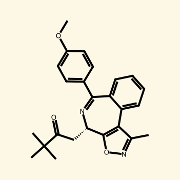 COc1ccc(C2=N[C@@H](CC(=O)C(C)(C)C)c3onc(C)c3-c3ccccc32)cc1